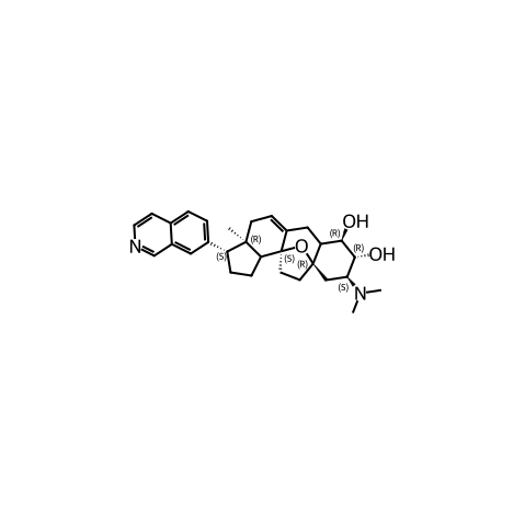 CN(C)[C@H]1C[C@@]23CC[C@@]4(O2)C(=CC[C@@]2(C)C4CC[C@@H]2c2ccc4ccncc4c2)CC3[C@@H](O)[C@@H]1O